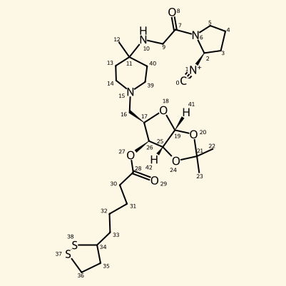 [C-]#[N+][C@@H]1CCCN1C(=O)CNC1(C)CCN(C[C@H]2O[C@@H]3OC(C)(C)O[C@@H]3[C@H]2OC(=O)CCCCC2CCSS2)CC1